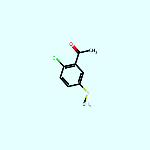 CSc1ccc(Cl)c(C(C)=O)c1